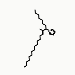 CCCCCCCCCCCCCC=C(C)C(CCCCCCC)n1cccc1